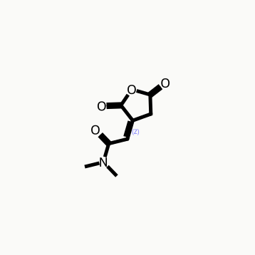 CN(C)C(=O)/C=C1/CC(=O)OC1=O